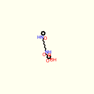 O=C(CCCCCCCNC(=O)c1cc(=O)c(O)co1)Nc1ccccc1